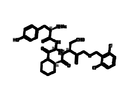 CC(=O)N[C@@H](Cc1ccc(O)cc1)C(=O)N[C@H](C(=O)N1CCCC[C@H]1C(=O)N[C@@H](CC=O)C(=O)COCc1c(Cl)cccc1Cl)C(C)C